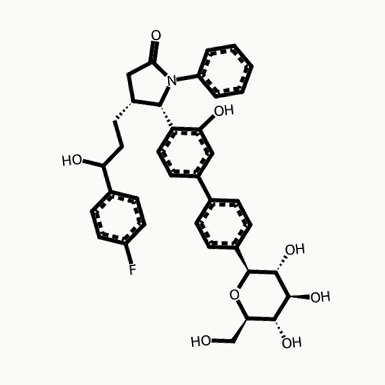 O=C1C[C@@H](CCC(O)c2ccc(F)cc2)[C@@H](c2ccc(-c3ccc([C@@H]4O[C@H](CO)[C@@H](O)[C@H](O)[C@H]4O)cc3)cc2O)N1c1ccccc1